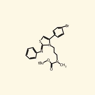 CN(CCCn1c(-c2ccc(Br)cc2)csc1=Nc1ccccc1)C(=O)OC(C)(C)C